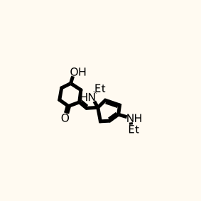 CCNC1=CCC(C=C2CC(O)CCC2=O)(NCC)C=C1